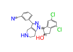 N#Cc1cccc(-c2nn([C@@H]3c4cc(Cl)cc(Cl)c4C[C@H]3O)c3c2CNCC3)c1